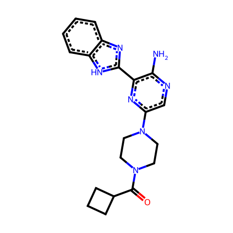 Nc1ncc(N2CCN(C(=O)C3CCC3)CC2)nc1-c1nc2ccccc2[nH]1